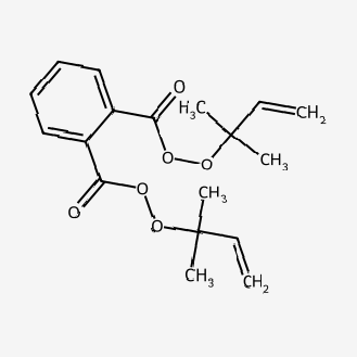 C=CC(C)(C)OOC(=O)c1ccccc1C(=O)OOC(C)(C)C=C